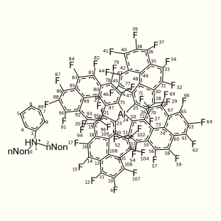 CCCCCCCCC[NH+](CCCCCCCCC)c1ccccc1.Fc1c(F)c2c(F)c(F)c3c(F)c(F)[c]([Al-]([c]4c(F)c(F)c5c(F)c(F)c6c(F)c(F)c(F)c7c(F)c(F)c4c5c67)([c]4c(F)c(F)c5c(F)c(F)c6c(F)c(F)c(F)c7c(F)c(F)c4c5c67)[c]4c(F)c(F)c5c(F)c(F)c6c(F)c(F)c(F)c7c(F)c(F)c4c5c67)c4c(F)c(F)c(c1F)c2c34